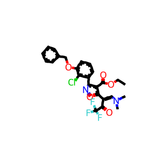 CCOC(=O)c1c(-c2cccc(OCc3ccccc3)c2Cl)noc1/C(=C/N(C)C)C(=O)C(F)(F)F